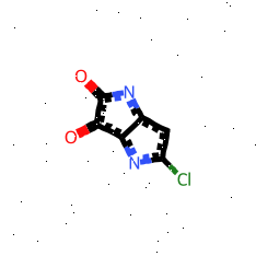 O=c1nc2cc(Cl)nc-2c1=O